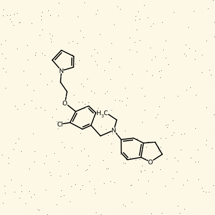 CCN(Cc1ccc(OCCn2cccc2)c(Cl)c1)c1ccc2c(c1)CCO2